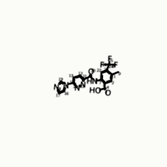 Cc1cc(C(=O)O)c(NC(=O)c2ccc(-n3ccnc3)nn2)cc1C(F)(F)F